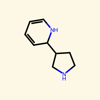 C1=CN[C](C2CCNC2)C=C1